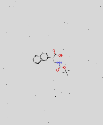 CC(C)(C)OC(=O)NC[C@@H](C(=O)O)c1ccc2ccccc2c1